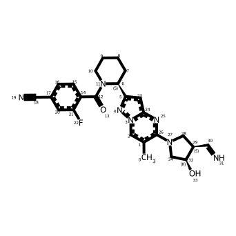 Cc1cn2nc([C@@H]3CCCCN3C(=O)c3ccc(C#N)cc3F)cc2nc1N1C[C@@H](C=N)[C@@H](O)C1